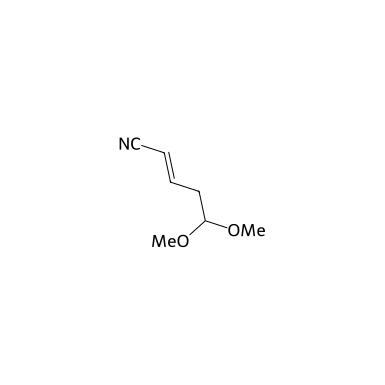 COC(C/C=C/C#N)OC